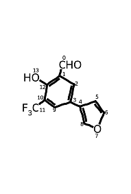 O=Cc1cc(-c2ccoc2)cc(C(F)(F)F)c1O